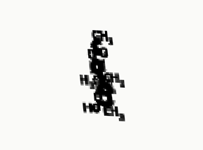 CC=CC(=O)Oc1ccc(C(C)(C)c2ccc(C=C(C)C(=O)O)cc2)cc1